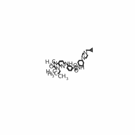 CC(C)CN1c2nc(Nc3cccc(S(=O)(=O)N[C@H]4CC[C@H](N5CCN(CC6CC6)CC5)CC4)c3)ccc2N(C)C(=O)[C@H]1C